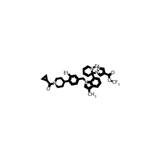 CCc1cc(Cn2cc(C)c3cccc(C4(n5cc(C(=O)OC(F)(F)F)cn5)C=CC=CN4CC)c32)ccc1C1CCN(C(=O)C2CC2)CC1